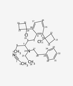 CC#N.CCC(CCc1c(C2(Cl)CCC2)cccc1C1(Cl)CCC1)N(CC)CCc1ccccc1